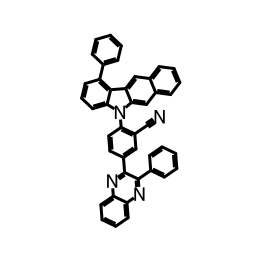 N#Cc1cc(-c2nc3ccccc3nc2-c2ccccc2)ccc1-n1c2cc3ccccc3cc2c2c(-c3ccccc3)cccc21